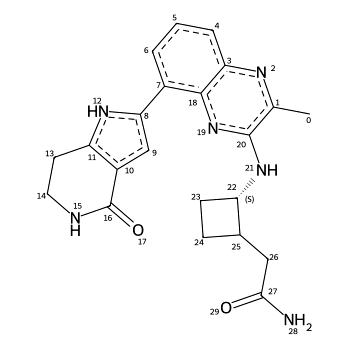 Cc1nc2cccc(-c3cc4c([nH]3)CCNC4=O)c2nc1N[C@H]1CCC1CC(N)=O